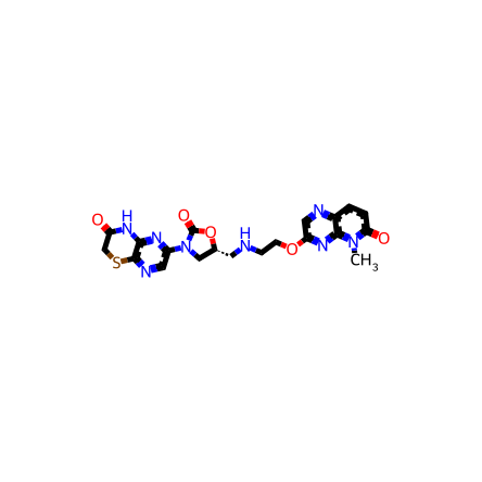 Cn1c(=O)ccc2ncc(OCCNC[C@@H]3CN(c4cnc5c(n4)NC(=O)CS5)C(=O)O3)nc21